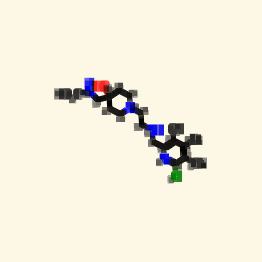 CCc1c(C#N)c(Cl)nc(CNCCN2CCC(O)(CNC(=O)O)CC2)c1C#N